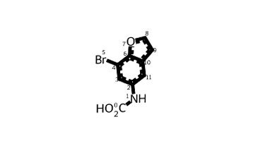 O=C(O)Nc1cc(Br)c2occc2c1